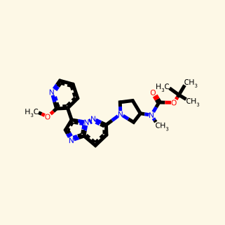 COc1ncccc1-c1cnc2ccc(N3CCC(N(C)C(=O)OC(C)(C)C)C3)nn12